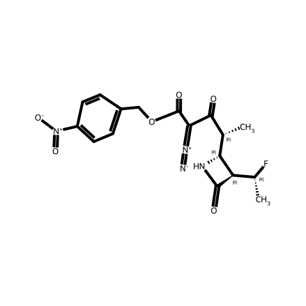 C[C@@H](F)[C@H]1C(=O)N[C@@H]1[C@@H](C)C(=O)C(=[N+]=[N-])C(=O)OCc1ccc([N+](=O)[O-])cc1